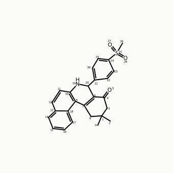 CC1(C)CC(=O)C2=C(C1)c1c(ccc3ccccc13)NC2c1ccc(S(C)(=O)=O)cc1